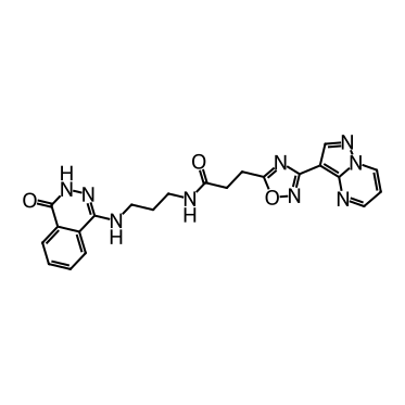 O=C(CCc1nc(-c2cnn3cccnc23)no1)NCCCNc1n[nH]c(=O)c2ccccc12